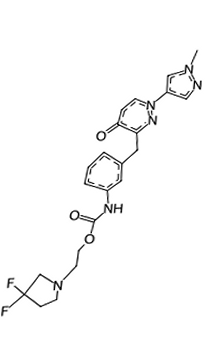 Cn1cc(-n2ccc(=O)c(Cc3cccc(NC(=O)OCCN4CCC(F)(F)C4)c3)n2)cn1